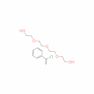 C=C(Cl)c1ccccc1.OCCOCCOCCOCCO